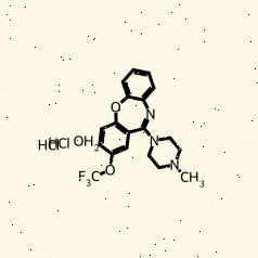 CN1CCN(C2=Nc3ccccc3Oc3ccc(OC(F)(F)F)cc32)CC1.Cl.Cl.O